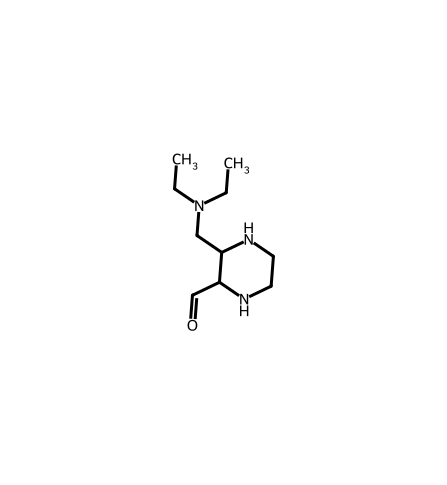 CCN(CC)CC1NCCNC1C=O